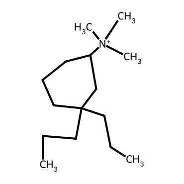 CCCC1(CCC)CCCC([N+](C)(C)C)C1